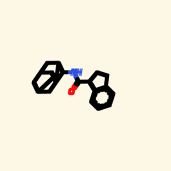 O=C(NC1C2CC3CC(C2)CC1C3)C1CCc2ccccc21